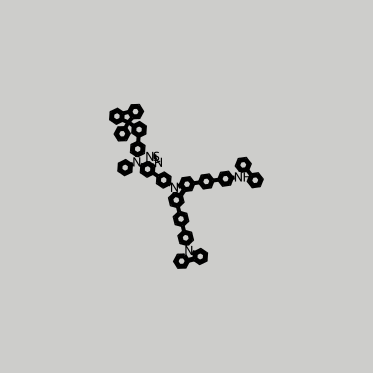 c1ccc(-c2ccccc2Nc2ccc(-c3ccc(-c4ccc5c(c4)c4cc(-c6ccc(-c7ccc(-n8c9ccccc9c9ccccc98)cc7)cc6)ccc4n5-c4ccc(-c5ccc(N(c6ccccc6)c6ccc(-c7cccc(C8(c9ccccc9)c9ccccc9-c9ccccc98)c7)cc6)c6nsnc56)cc4)cc3)cc2)cc1